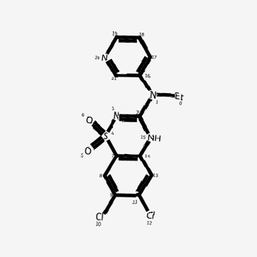 CCN(C1=NS(=O)(=O)c2cc(Cl)c(Cl)cc2N1)c1cccnc1